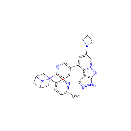 COc1ccc(CN2C3CC2CN(c2ccc(-c4cc(N5CCC5)cn5nc6[nH]ncc6c45)cn2)C3)cn1